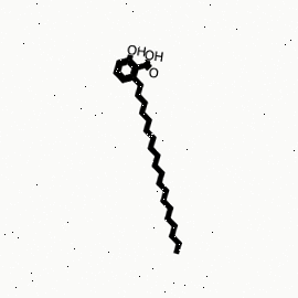 CCCCCCCCCCCCCCCCCCCCc1cccc(O)c1C(=O)O